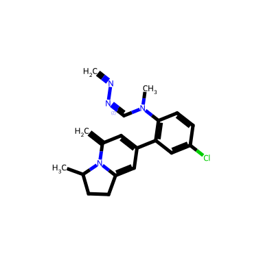 C=N/N=C\N(C)c1ccc(Cl)cc1C1=CC(=C)N2C(=C1)CCC2C